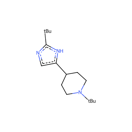 CC(C)(C)c1ncc(C2CCN(C(C)(C)C)CC2)[nH]1